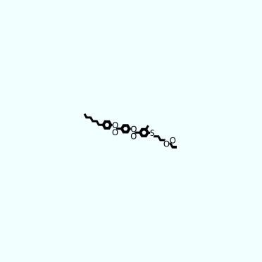 C=CC(=O)OCCCCSc1ccc(C(=O)Oc2ccc(C(=O)Oc3ccc(CCCCCC)cc3)cc2)cc1C